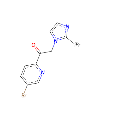 CC(C)c1nccn1CC(=O)c1ccc(Br)cn1